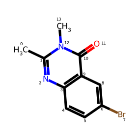 Cc1nc2ccc(Br)cc2c(=O)n1C